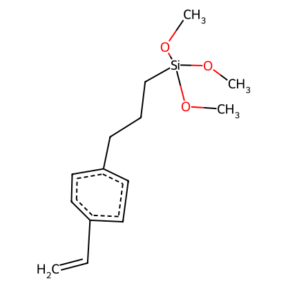 C=Cc1ccc(CCC[Si](OC)(OC)OC)cc1